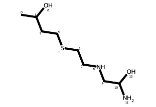 CC(O)CCSCCNCC(N)O